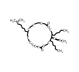 C=C=C=C=C1C(CCCCC)CCOC(=O)CCCCCCCC(CCCCCN(C)C)CCCCCCCC(=O)OCCC1CCCCC